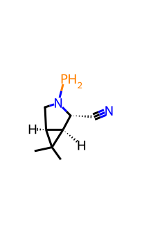 CC1(C)[C@@H]2[C@@H](C#N)N(P)C[C@@H]21